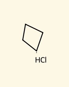 Cl.[CH]1CCC1